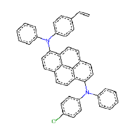 C=Cc1ccc(N(c2ccccc2)c2ccc3ccc4c(N(c5ccccc5)c5ccc(Cl)cc5)ccc5ccc2c3c54)cc1